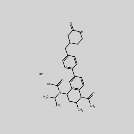 CC(=O)N1c2ccc(-c3ccc(CN4CCNC(=O)C4)cc3)cc2C(N(C(=O)O)C(C)C)CC1C.Cl